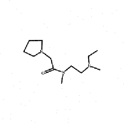 CCN(C)CCN(C)C(=O)CN1CCCC1